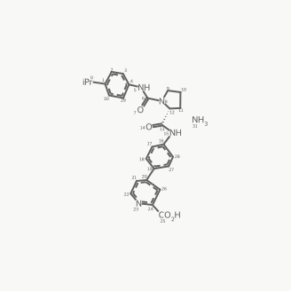 CC(C)c1ccc(NC(=O)N2CCC[C@@H]2C(=O)Nc2ccc(-c3ccnc(C(=O)O)c3)cc2)cc1.N